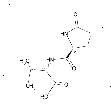 CC(C)[C@H](NC(=O)[C@@H]1CCC(=O)N1)C(=O)O